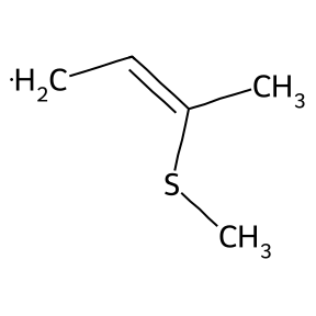 [CH2]C=C(C)SC